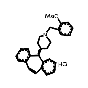 COc1ccccc1CN1CCC(=C2c3ccccc3C=Cc3ccccc32)CC1.Cl